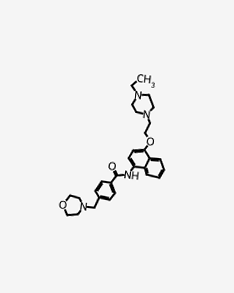 CCN1CCN(CCOc2ccc(NC(=O)c3ccc(CN4CCOCC4)cc3)c3ccccc23)CC1